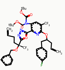 C=CCC[C@@](OCc1ccccc1)(c1nnc(-c2nc(OC(CC=C)Cc3ccc(F)cc3)c(C(F)(F)F)cc2N(C(=O)OC(C)(C)C)C(=O)OC(C)(C)C)o1)C(F)(F)F